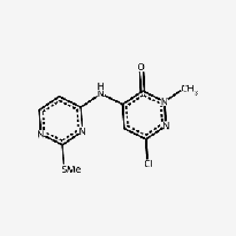 CSc1nccc(Nc2cc(Cl)nn(C)c2=O)n1